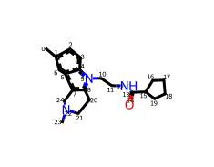 Cc1ccc2c(c1)c1c(n2CCNC(=O)C2CCCC2)CCN(C)C1